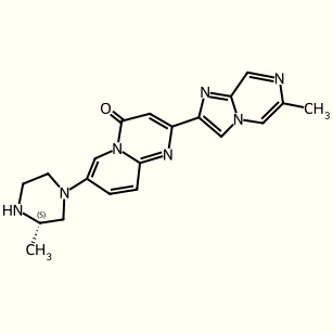 Cc1cn2cc(-c3cc(=O)n4cc(N5CCN[C@@H](C)C5)ccc4n3)nc2cn1